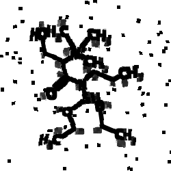 CCCN(C(=O)C(CO)[N+](C)(C)C)[SiH](OCC)OCC